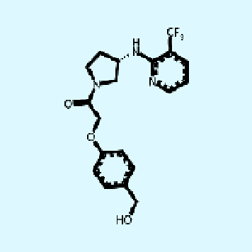 O=C(COc1ccc(CO)cc1)N1CC[C@H](Nc2ncccc2C(F)(F)F)C1